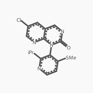 CSc1ccnc(C(C)C)c1-n1c(=O)ncc2cc(Cl)cnc21